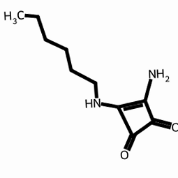 CCCCCCNc1c(N)c(=O)c1=O